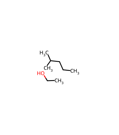 CCCC(C)C.CCO